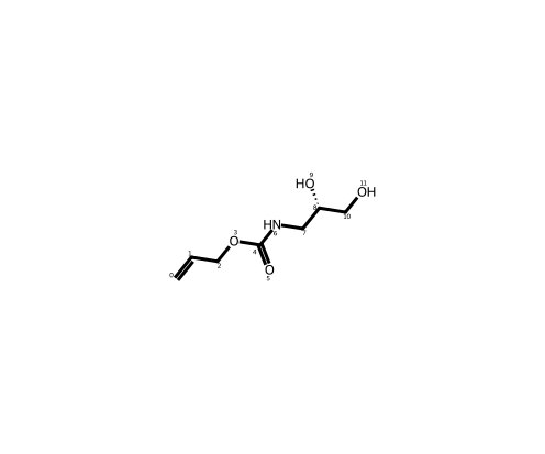 C=CCOC(=O)NC[C@H](O)CO